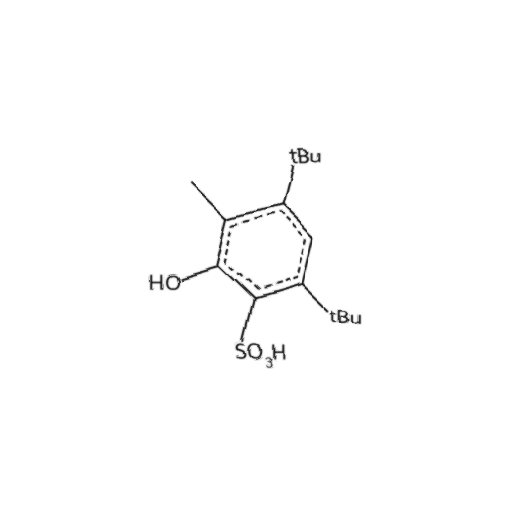 Cc1c(C(C)(C)C)cc(C(C)(C)C)c(S(=O)(=O)O)c1O